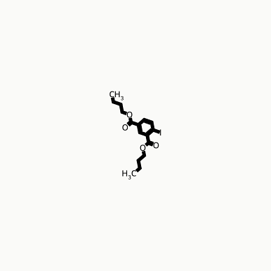 CCCCOC(=O)c1ccc(I)c(C(=O)OCCCC)c1